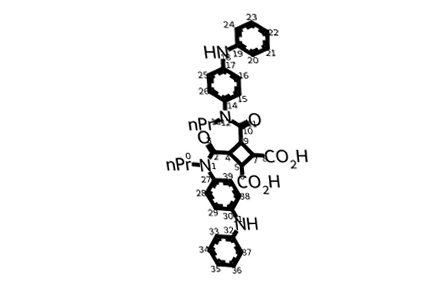 CCCN(C(=O)C1C(C(=O)O)C(C(=O)O)C1C(=O)N(CCC)c1ccc(Nc2ccccc2)cc1)c1ccc(Nc2ccccc2)cc1